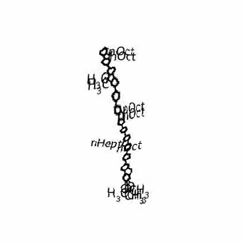 CCCCCCCCC1(CCCCCCC)c2cc(-c3ccc(-c4ccc5c(c4)CCc4cc(B6OC(C)(C)C(C)(C)O6)ccc4-5)cc3)ccc2-c2ccc(-c3ccc(-c4ccc5c(c4)C(CCCCCCCC)(CCCCCCCC)c4cc(-c6ccc(-c7ccc8c(c7)C(C)(C)c7cc(-c9ccc%10c(c9)C(CCCCCCCC)(CCCCCCCC)c9ccccc9-%10)ccc7-8)cc6)ccc4-5)cc3)cc21